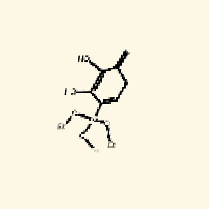 C=C1CC=C([Si](OCC)(OCC)OCC)C(O)=C1O